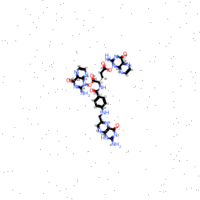 Nc1nc(=O)c2nc(CNc3ccc(C(=O)N[C@@H](CCC(=O)On4c(N)nc(=O)c5nccnc54)C(=O)On4c(N)nc(=O)c5nccnc54)cc3)cnc2[nH]1